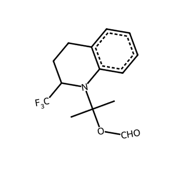 CC(C)(OC=O)N1c2ccccc2CCC1C(F)(F)F